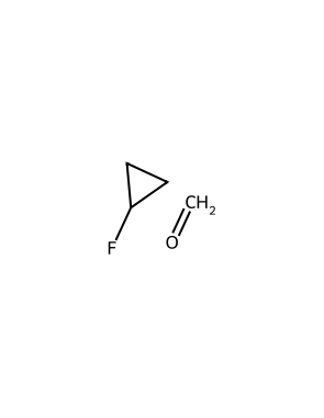 C=O.FC1CC1